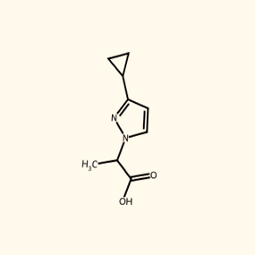 CC(C(=O)O)n1ccc(C2CC2)n1